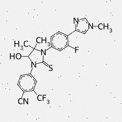 Cn1cnc(-c2ccc(N3C(=S)N(c4ccc(C#N)c(C(F)(F)F)c4)C(O)C3(C)C)cc2F)c1